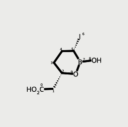 O=C(O)C[C@@H]1CC[C@H](I)B(O)O1